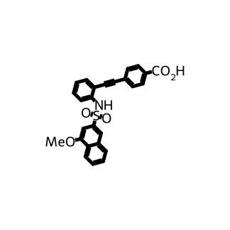 COc1cc(S(=O)(=O)Nc2ccccc2C#Cc2ccc(C(=O)O)cc2)cc2ccccc12